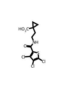 O=C(NCCC1(C(=O)O)CC1)c1sc(Cl)c(Cl)c1Cl